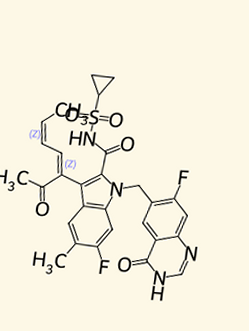 C/C=C\C=C(/C(C)=O)c1c(C(=O)NS(=O)(=O)C2CC2)n(Cc2cc3c(=O)[nH]cnc3cc2F)c2cc(F)c(C)cc12